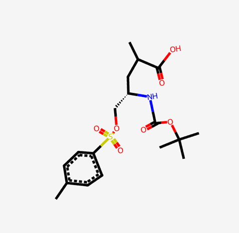 Cc1ccc(S(=O)(=O)OC[C@H](CC(C)C(=O)O)NC(=O)OC(C)(C)C)cc1